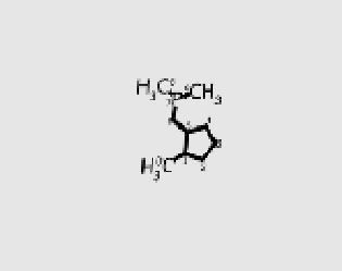 CC1CCCC1CP(C)C